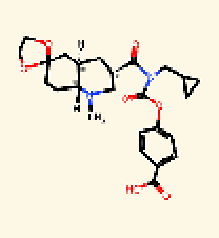 CN1C[C@H](C(=O)N(CC2CC2)C(=O)Oc2ccc(C(=O)O)cc2)C[C@@H]2CC3(CC[C@H]21)OCCO3